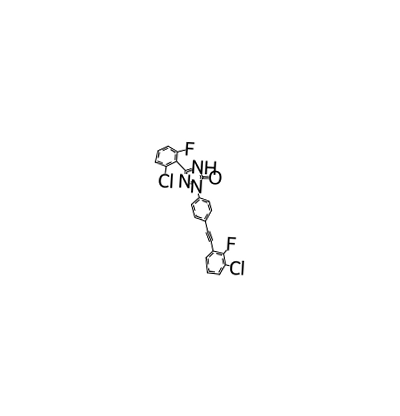 O=c1[nH]c(-c2c(F)cccc2Cl)nn1-c1ccc(C#Cc2cccc(Cl)c2F)cc1